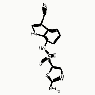 N#Cc1c[nH]c2c(NS(=O)(=O)c3cnc(N)s3)cccc12